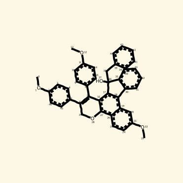 COc1ccc(C2=C(c3ccc(OC)cc3)c3c4c(c5cc(OC)ccc5c3OC2)-c2ccccc2C4(O)Cc2ccccc2)cc1